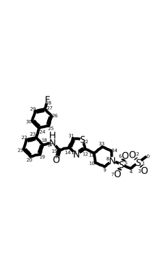 CS(=O)(=O)CS(=O)(=O)N1CCC(c2nc(C(=O)Nc3ccccc3-c3ccc(F)cc3)cs2)CC1